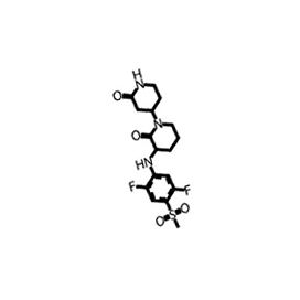 CS(=O)(=O)c1cc(F)c(NC2CCCN(C3CCNC(=O)C3)C2=O)cc1F